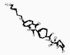 CCCCCCNc1ccc2c(=O)n(-c3ccc(C(=O)NS(=O)(=O)c4ccc(Cl)s4)cc3)c(=O)[nH]c2c1